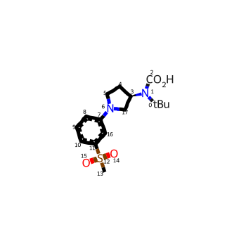 CC(C)(C)N(C(=O)O)[C@@H]1CCN(c2cccc(S(C)(=O)=O)c2)C1